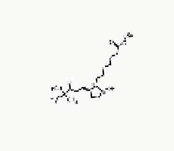 CCCCOC(=O)CCCCCC[C@@H]1C(=CCC(O)C(C)(C)CCCC)CC[C@@H]1O